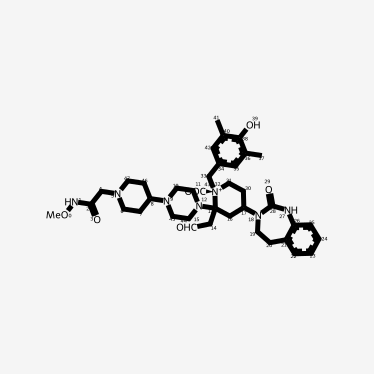 CONC(=O)CN1CCC(N2CCN(C3(CC=O)CC(N4CCc5ccccc5NC4=O)CC[N@+]3(Cc3cc(C)c(O)c(C)c3)C(=O)[O-])CC2)CC1